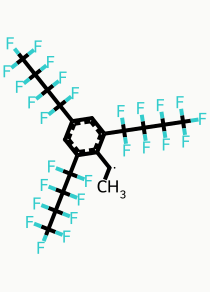 C[CH]c1c(C(F)(F)C(F)(F)C(F)(F)C(F)(F)F)cc(C(F)(F)C(F)(F)C(F)(F)C(F)(F)F)cc1C(F)(F)C(F)(F)C(F)(F)C(F)(F)F